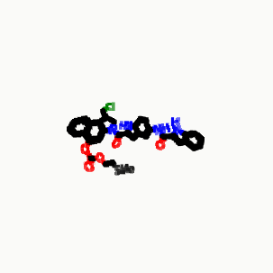 CSCCOC(=O)Oc1cc2c(c3ccccc13)C(CCl)CN2C(=O)c1cc2cc(NC(=O)c3cc4ccccc4[nH]3)ccc2[nH]1